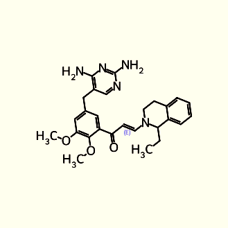 CCC1c2ccccc2CCN1/C=C/C(=O)c1cc(Cc2cnc(N)nc2N)cc(OC)c1OC